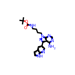 CC(C)(C)OC(=O)NCCCCn1nc(-c2cnc3[nH]ccc3c2)c2c(N)ncnc21